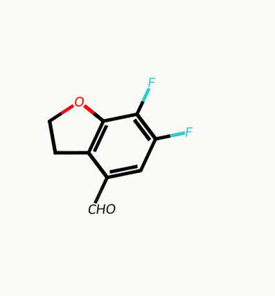 O=Cc1cc(F)c(F)c2c1CCO2